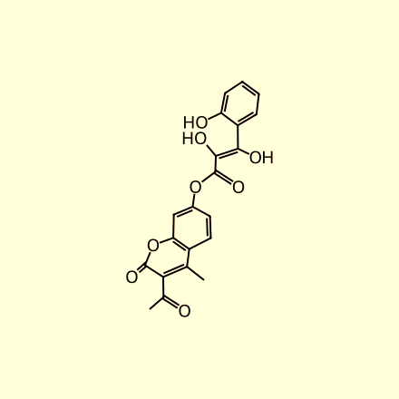 CC(=O)c1c(C)c2ccc(OC(=O)C(O)=C(O)c3ccccc3O)cc2oc1=O